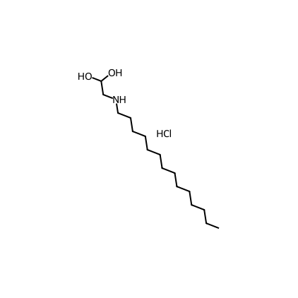 CCCCCCCCCCCCCCNCC(O)O.Cl